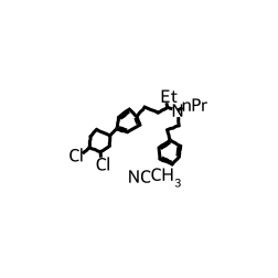 CC#N.CCCN(CCc1ccccc1)C(CC)CCc1ccc(C2CCC(Cl)C(Cl)C2)cc1